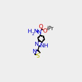 CC(C)OC(=O)N(N)c1ccc2[nH]c(-c3cscn3)nc2c1